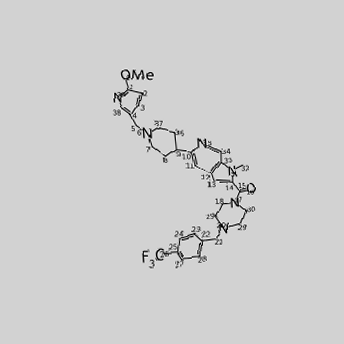 COc1ccc(CN2CCC(c3cc4cc(C(=O)N5CCN(Cc6ccc(C(F)(F)F)cc6)CC5)n(C)c4cn3)CC2)cn1